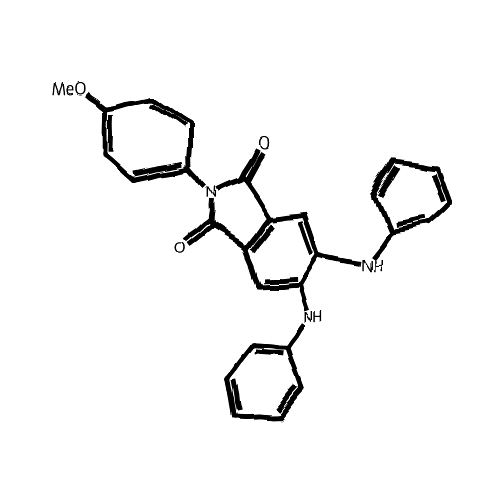 COc1ccc(N2C(=O)c3cc(Nc4ccccc4)c(Nc4ccccc4)cc3C2=O)cc1